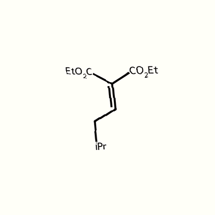 CCOC(=O)C(=CCC(C)C)C(=O)OCC